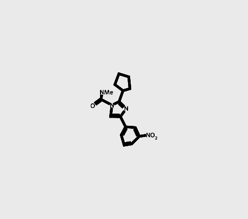 CNC(=O)n1cc(-c2cccc([N+](=O)[O-])c2)nc1C1CCCC1